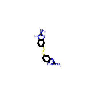 Nc1nc2cc(SSc3ccc4[nH]c(N)nc4c3)ccc2[nH]1